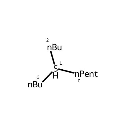 CCCCC[SH](CCCC)CCCC